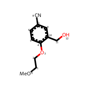 COCCOc1ccc(C#N)cc1CO